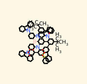 CC(C)(C)c1cc(-c2ccccc2)cc(N2c3cc(-n4c5ccccc5c5ccccc54)ccc3B3c4ccc(-n5c6ccccc6c6ccccc65)cc4N(c4ccc(-c5ccccc5)cc4-c4ccccc4)c4cc(-c5c(-c6ccc7sc8ccccc8c7c6)cc(C(C)(C)C)cc5-n5c6ccccc6c6ccccc65)cc2c43)c1